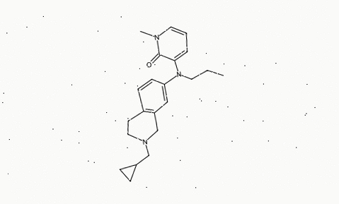 CCCN(c1ccc2c(c1)CN(CC1CC1)CC2)c1cccn(C)c1=O